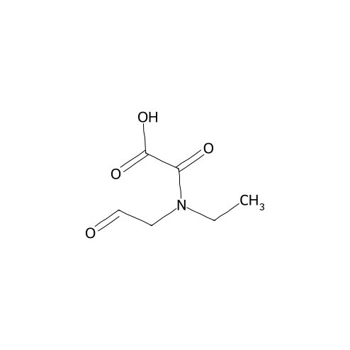 CCN(CC=O)C(=O)C(=O)O